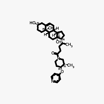 CC(CCC(=O)N1CC[C@@H](Oc2ccncc2)[C@@H](C)C1)[C@H]1CC[C@H]2[C@@H]3CC=C4C[C@@H](O)CC[C@]4(C)[C@H]3CC[C@]12C